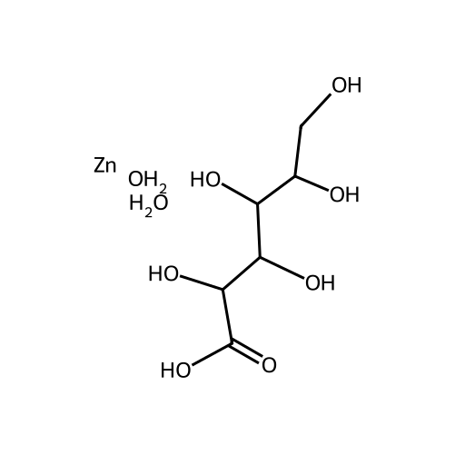 O.O.O=C(O)C(O)C(O)C(O)C(O)CO.[Zn]